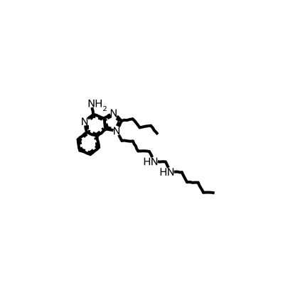 CCCCCNCNCCCCn1c(CCCC)nc2c(N)nc3ccccc3c21